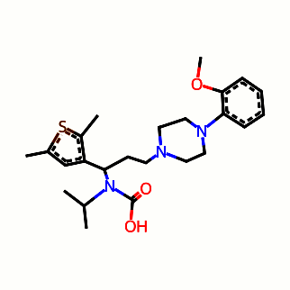 COc1ccccc1N1CCN(CCC(c2cc(C)sc2C)N(C(=O)O)C(C)C)CC1